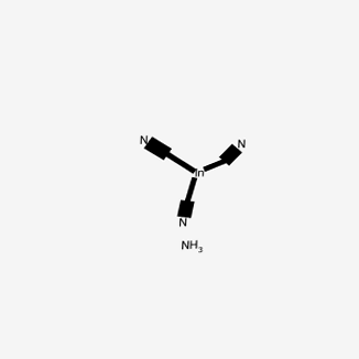 N.N#[C][In]([C]#N)[C]#N